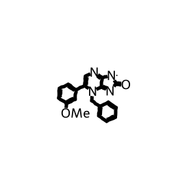 COc1cccc(C2=CN=C3[N]C(=O)N=C3N2Cc2ccccc2)c1